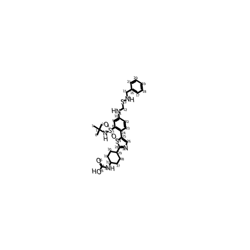 CC(C)(C)NS(=O)(=O)c1cc(NCSNCc2ccccc2)ccc1-c1cnc(C2CCC(NC(=O)O)CC2)s1